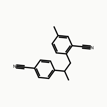 Cc1ccc(CC(C)c2ccc(C#N)cc2)c(C#N)c1